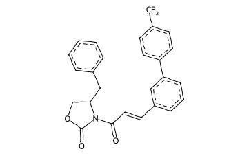 O=C(/C=C/c1cccc(-c2ccc(C(F)(F)F)cc2)c1)N1C(=O)OCC1Cc1ccccc1